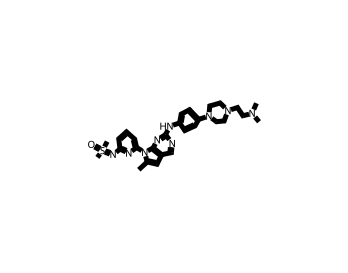 Cc1cc2cnc(Nc3ccc(N4CCN(CCN(C)C)CC4)cc3)nc2n1-c1cccc(N=S(C)(C)=O)n1